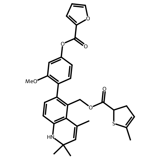 COc1cc(OC(=O)c2ccco2)ccc1-c1ccc2c(c1COC(=O)C1CC=C(C)S1)C(C)=CC(C)(C)N2